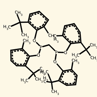 Cc1cccc(C(C)(C)C)c1OP(CP(Oc1c(C)cccc1C(C)(C)C)Oc1c(C)cccc1C(C)(C)C)Oc1c(C)cccc1C(C)(C)C